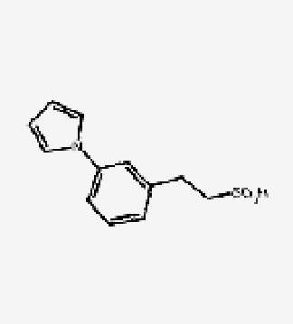 O=S(=O)(O)CCc1cccc(-n2cccc2)c1